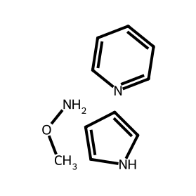 CON.c1cc[nH]c1.c1ccncc1